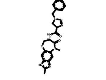 Cc1nc2cc3c(cc2[nH]1)OC[C@H](NC(=O)C1CN(Cc2ccccc2)N=N1)C(=O)N3C